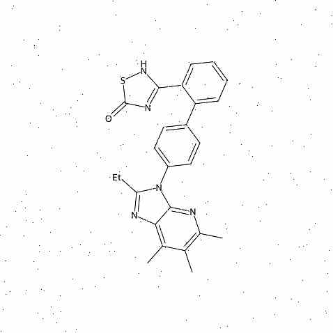 CCc1nc2c(C)c(C)c(C)nc2n1-c1ccc(-c2ccccc2-c2nc(=O)s[nH]2)cc1